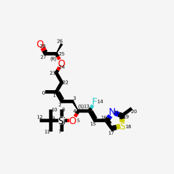 CC(=CC[C@H](O[Si](C)(C)C(C)(C)C)C(F)=Cc1csc(C)n1)CCO[C@H](C)C=O